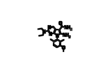 CCN(CC)c1ncc2c(C(N)=O)c(N)n(-c3c(C)ccc(OC)c3C)c2n1